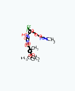 CNCCOCCOCCOc1cc(C2=NC3(CCN(S(=O)(=O)CCc4ccc(C(=O)OC(C)(C)C)cc4C)CC3)C(=O)N2O)cc(C(F)(F)F)c1